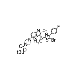 CCc1nc2ccc(N3CCN(C(=O)OC(C)(C)C)CC3)nn2c1N(C)c1nc(-c2ccc(F)cc2)c(Br)s1